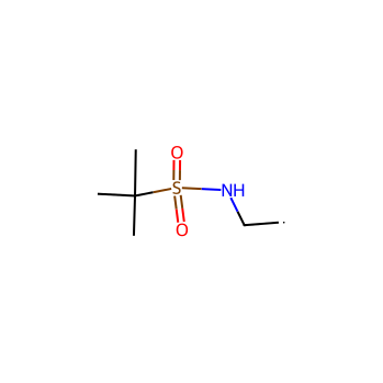 [CH2]CNS(=O)(=O)C(C)(C)C